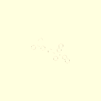 C=C(c1ccc2ccccc2c1)c1ccccc1/C(=C1/C=CC(c2ccc3c(c2)C2C=NC=CC2N3c2ccccc2)=CC1)c1ccc2cc(C)ccc2c1